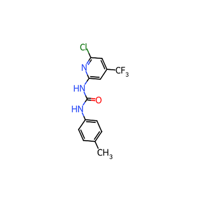 Cc1ccc(NC(=O)Nc2cc(C(F)(F)F)cc(Cl)n2)cc1